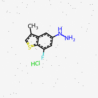 Cc1csc2c(F)cc(NN)cc12.Cl